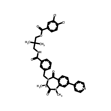 C[C@@H]1C(=O)N(C)c2cc(-c3ccncc3)ccc2C(=O)N1Cc1cccc(C(=O)NCC(C)(C)COC(=O)c2ccc(Cl)c(Cl)c2)c1